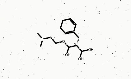 CP(C)CCOC(O)[C@H](CC1=CCCC=C1)C(O)O